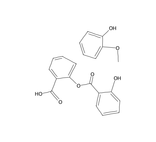 COc1ccccc1O.O=C(Oc1ccccc1C(=O)O)c1ccccc1O